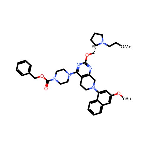 CCCCOc1cc(N2CCc3c(nc(OC[C@@H]4CCCN4CCOC)nc3N3CCN(C(=O)OCc4ccccc4)CC3)C2)c2ccccc2c1